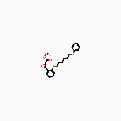 COC(=O)C1OC1c1ccccc1SCCCCCCSc1ccccc1